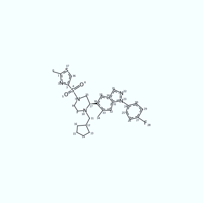 Cc1nc(S(=O)(=O)N2CCN(CC3CCCC3)[C@H](c3cc4cnn(-c5ccc(F)cc5)c4cc3C)C2)cs1